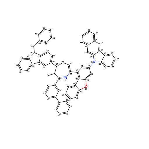 CC1C(c2cccc(-c3ccccc3)c2)=NC(c2cc(-n3c4ccccc4c4cc5ccccc5cc43)cc3oc4ccccc4c23)=CCC1c1ccc2c(c1)-c1ccccc1C2Cc1ccccc1